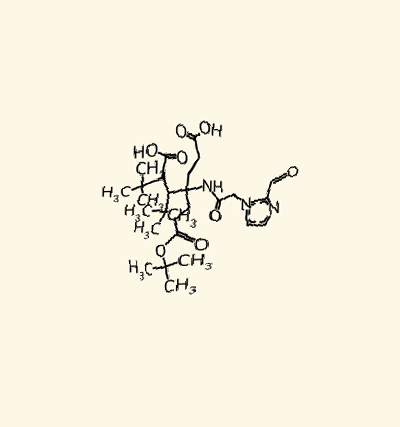 CC(C)(C)OC(=O)CCC(CCC(=O)O)(NC(=O)Cn1ccnc1C=O)C(C(C(=O)O)C(C)(C)C)C(C)(C)C